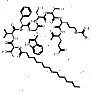 CCCCCCCCCCCCCCCC(=O)N[C@H](C(=O)N[C@H](C(=O)N[C@@H](Cc1ccccc1)C(=O)N[C@@H](Cc1c[nH]c2ccccc12)C(=O)N[C@@H](CO)C(=O)N[C@@H](CO)C(=O)N[C@@H](CCCNC(=N)N)C(=O)N[C@@H](CCC(=O)O)C(C)=O)C(C)C)[C@@H](C)O